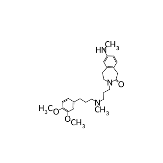 CNc1ccc2c(c1)CCN(CCCN(C)CCCc1ccc(OC)c(OC)c1)C(=O)C2